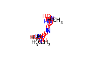 CCN(C)C1Cc2ccc(O)c3c2[C@@]2(C)[C@@H](O3)[C@@H](NC(=O)COCCOCc3cn(CCOCCOCC(=O)N[C@@H]4CC[C@@]5(O)C6Cc7ccc(O)c8c7[C@@]5(CCN6C)[C@H]4O8)nn3)CC[C@@]12O